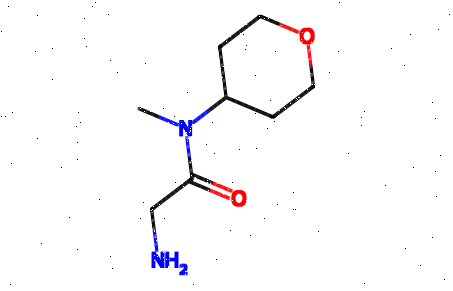 CN(C(=O)CN)C1CCOCC1